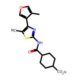 Cc1cocc1-c1nc(NC(=O)C2CCC(C(=O)O)CC2)sc1C#N